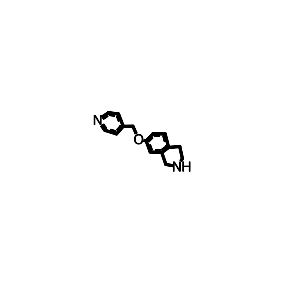 c1cc(COc2ccc3c(c2)CNCC3)ccn1